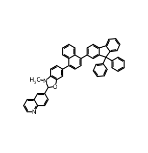 CN1c2ccc(-c3ccc(-c4ccc5c(c4)C(c4ccccc4)(c4ccccc4)c4ccccc4-5)c4ccccc34)cc2OC1c1ccc2ncccc2c1